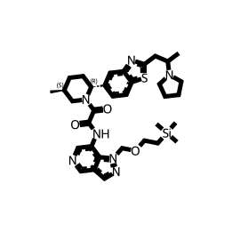 CC(Cc1nc2cc([C@H]3CC[C@H](C)CN3C(=O)C(=O)Nc3cncc4cnn(COCC[Si](C)(C)C)c34)ccc2s1)N1CCCC1